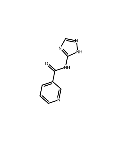 O=C(Nc1ncn[nH]1)c1cccnc1